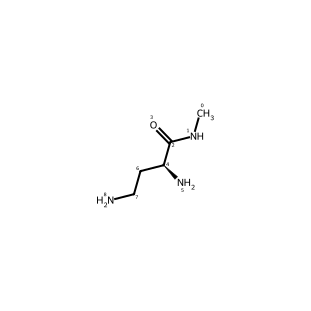 CNC(=O)[C@@H](N)CCN